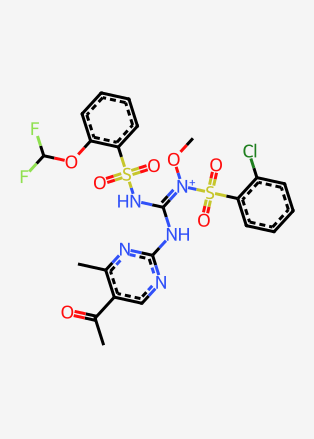 CO[N+](=C(Nc1ncc(C(C)=O)c(C)n1)NS(=O)(=O)c1ccccc1OC(F)F)S(=O)(=O)c1ccccc1Cl